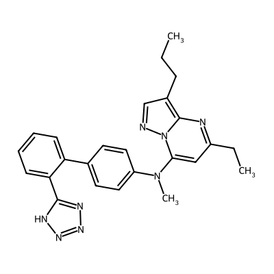 CCCc1cnn2c(N(C)c3ccc(-c4ccccc4-c4nnn[nH]4)cc3)cc(CC)nc12